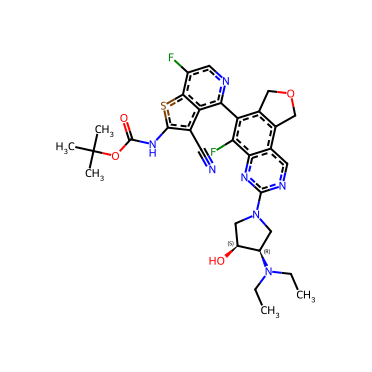 CCN(CC)[C@@H]1CN(c2ncc3c4c(c(-c5ncc(F)c6sc(NC(=O)OC(C)(C)C)c(C#N)c56)c(F)c3n2)COC4)C[C@@H]1O